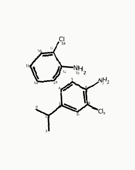 CC(C)c1ccc(N)c(Cl)c1.Nc1ccccc1Cl